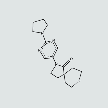 O=C1N(c2cnc(N3CCCC3)nc2)CCC12CCOCC2